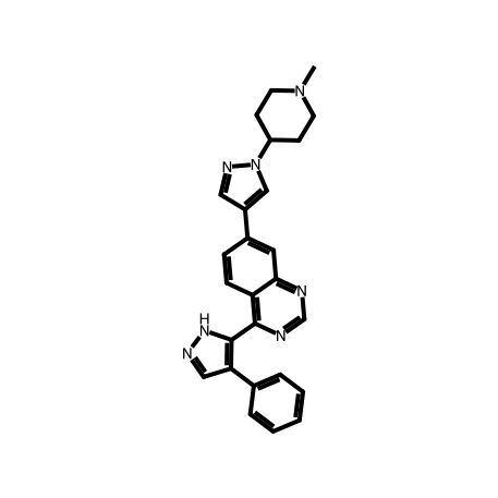 CN1CCC(n2cc(-c3ccc4c(-c5[nH]ncc5-c5ccccc5)ncnc4c3)cn2)CC1